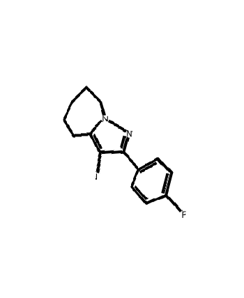 Fc1ccc(-c2nn3c(c2I)CCCCC3)cc1